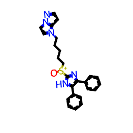 [O-][S+](CCCCCn1ccn2nccc12)c1nc(-c2ccccc2)c(-c2ccccc2)[nH]1